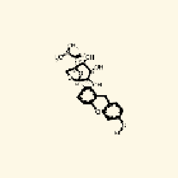 CCOc1ccc(Cc2cc([C@]34OC[C@](C(=O)N(C)C)(O3)[C@@H](O)[C@H](O)[C@H]4O)ccc2Cl)cc1